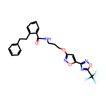 O=C(NCCCOc1cc(-c2noc(C(F)(F)F)n2)on1)c1ccccc1CCc1ccccc1